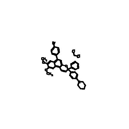 COc1cc2c(-c3ccc(Br)cc3)cc3c(c2cc1OC)C=CC(c1ccccc1)(c1ccc(N2CCCCC2)cc1)O3.ClCCl